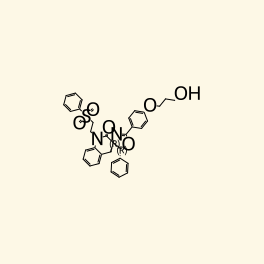 O=C1N(CCS(=O)(=O)c2ccccc2)c2ccccc2C[C@]12N=C(c1ccc(OCCCO)cc1)O[C@@H]2c1ccccc1